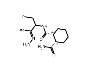 CC(=O)C(=NN)C(CC(C)C)NC(=O)[C@@H]1CCCC[C@@H]1C(N)=O